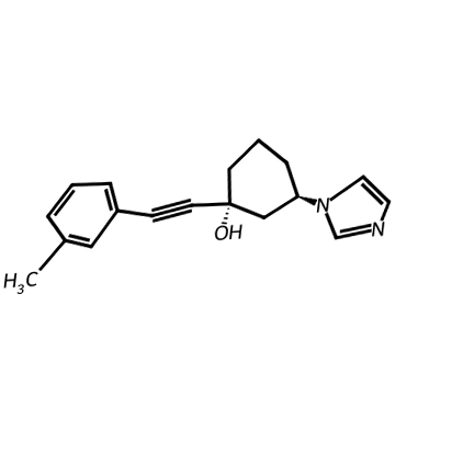 Cc1cccc(C#C[C@@]2(O)CCC[C@@H](n3ccnc3)C2)c1